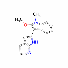 COc1c(-c2cc3cccnc3[nH]2)c2cc[c]cc2n1C